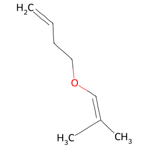 C=CCCOC=C(C)C